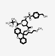 COCCCCC1(CNC(=O)C2CC(NS(=O)(=O)c3ccc(CO)cc3)CN(C(=O)OC(C)(C)C)C2)c2ccccc2Oc2ccccc21